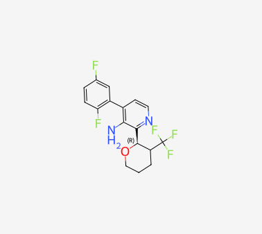 Nc1c(-c2cc(F)ccc2F)ccnc1[C@@H]1OCCCC1C(F)(F)F